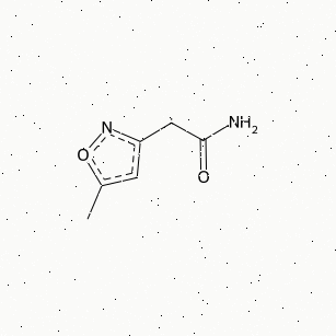 Cc1cc([CH]C(N)=O)no1